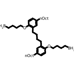 BCCCCOc1ccc(CCCCCCCC)cc1CCCCc1cc(CCCCCCCC)ccc1OCCCCB